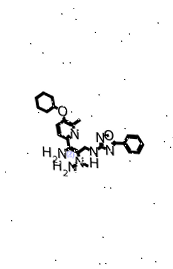 Cc1nc(/C(N)=C(\CNc2noc(-c3ccccc3)n2)N(C)N)ccc1OC1CCCCC1